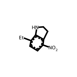 CCc1ccc([N+](=O)[O-])c2c1NCC2